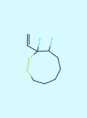 C=CC1(F)SSCCCCCC1F